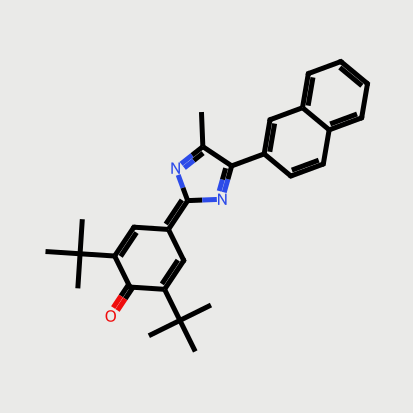 CC1=NC(=C2C=C(C(C)(C)C)C(=O)C(C(C)(C)C)=C2)N=C1c1ccc2ccccc2c1